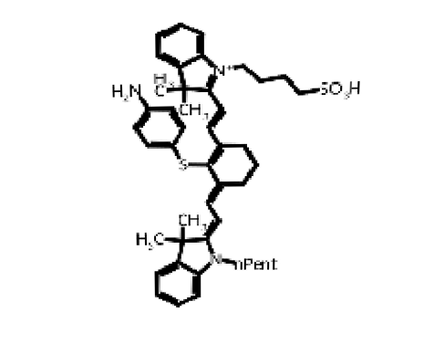 CCCCCN1/C(=C/C=C2\CCCC(/C=C/C3=[N+](CCCCS(=O)(=O)O)c4ccccc4C3(C)C)=C2Sc2ccc(N)cc2)C(C)(C)c2ccccc21